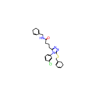 O=C(CCCc1nnc(SCC2=CC=CCC2)n1-c1cccc(Cl)c1)NCC1=CCCC=C1